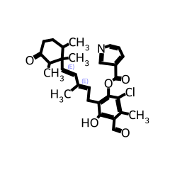 CC(/C=C/C1(C)C(C)CCC(=O)C1C)=C\Cc1c(O)c(C=O)c(C)c(Cl)c1OC(=O)c1cccnc1